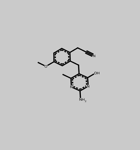 COc1ccc(CC#N)c(Cc2c(C)nc(N)nc2O)c1